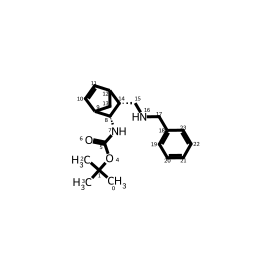 CC(C)(C)OC(=O)N[C@@H]1C2C=CC(C2)[C@@H]1CNCc1ccccc1